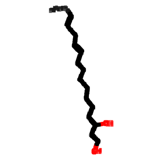 CCCCCC=CCC=CCCCCCCCC(O)CCO